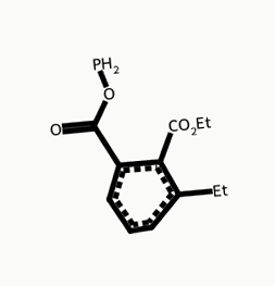 CCOC(=O)c1c(CC)cccc1C(=O)OP